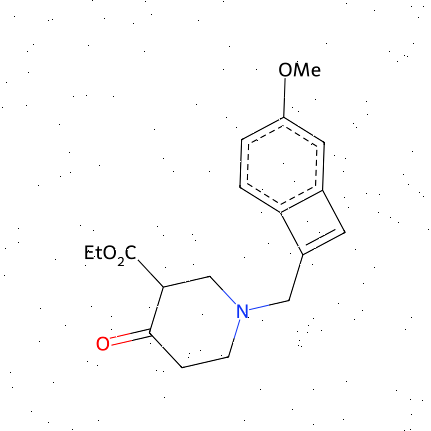 CCOC(=O)C1CN(CC2=Cc3cc(OC)ccc32)CCC1=O